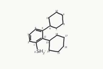 [SiH2]c1cccc(C2CCCCC2)c1C1CCCCC1